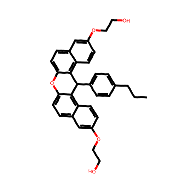 CCCc1ccc(C2c3c(ccc4cc(OCCO)ccc34)Oc3ccc4cc(OCCO)ccc4c32)cc1